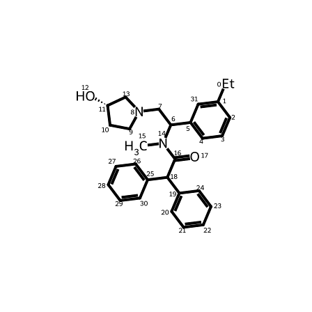 CCc1cccc(C(CN2CC[C@H](O)C2)N(C)C(=O)C(c2ccccc2)c2ccccc2)c1